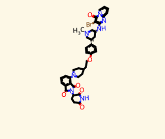 CN1C[C@H](Nc2nc3ccccn3c(=O)c2Br)C[C@H](c2ccc(OCCC3CCN(c4cccc5c4C(=O)N(C4CCC(=O)NC4=O)C5=O)CC3)cc2)C1